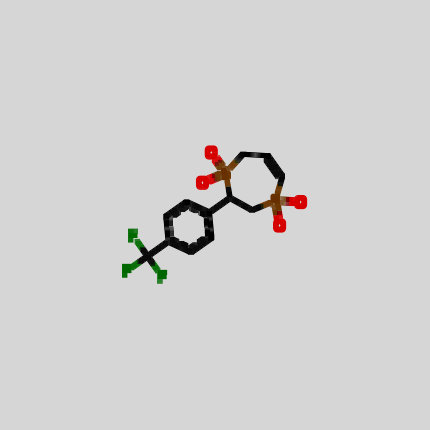 O=S1(=O)C=CCS(=O)(=O)C(c2ccc(C(F)(F)F)cc2)C1